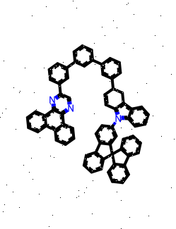 C1=CC(c2cccc(-c3cccc(-c4cccc(-c5cnc6c7ccccc7c7ccccc7c6n5)c4)c3)c2)Cc2c1n(-c1ccc3c(c1)C1(c4ccccc4-c4ccccc41)c1ccccc1-3)c1ccccc21